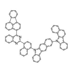 c1ccc2c(c1)-c1cccc3c(-c4nc(-c5ccc(-n6c7ccccc7c7cc8cc(-n9c%10ccccc%10c%10ccc%11ccccc%11c%109)ccc8cc76)c6ccccc56)nc5ccccc45)ccc-2c13